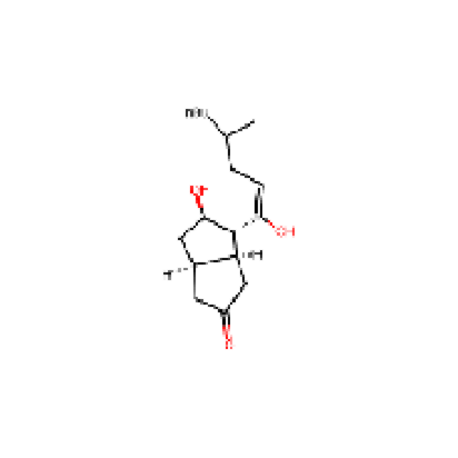 CCCCC(C)C/C=C(/O)[C@@H]1[C@H]2CC(=O)C[C@H]2C[C@H]1O